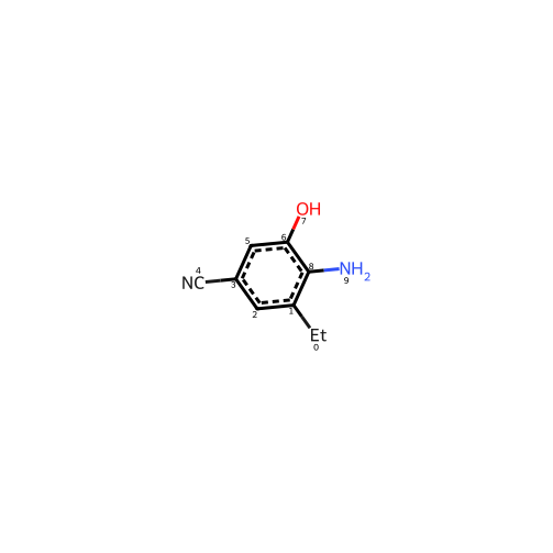 CCc1cc(C#N)cc(O)c1N